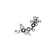 CCC1(c2ccc(C(=O)N3CCN(c4nc(C)c(C)cc4C)CC3)cc2)NC(=O)NC1=O